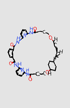 CC1(C)[C@H]2CC[C@H](CC2)OCCCC(=O)Nc2cccc(n2)NC(=O)c2cccc(c2)C(=O)Nc2cccc(n2)NC(=O)CCCO[C@@H]2CC[C@H]1CC2